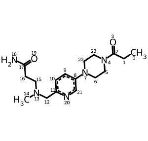 CCC(=O)N1CCN(c2ccc(CN(C)CCC(N)=O)nc2)CC1